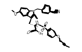 CC#CCOc1ccc(S(=O)(=O)N[C@@H](Cc2c(C)n(Cc3ccc(C#N)cc3)c3ccc(OC)cc23)C(=O)O)cc1